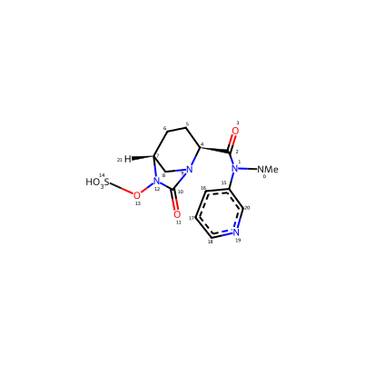 CNN(C(=O)[C@@H]1CC[C@@H]2CN1C(=O)N2OS(=O)(=O)O)c1cccnc1